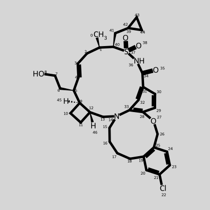 C[C@@H]1C/C=C/[C@H](CCO)[C@@H]2CC[C@H]2CN2CCCCc3cc(Cl)ccc3COc3ccc(cc32)C(=O)NS(=O)(=O)[C@@H]1CC1CC1